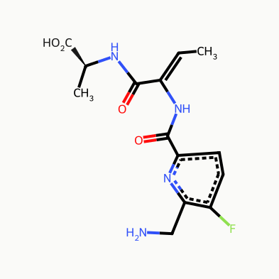 C/C=C(\NC(=O)c1ccc(F)c(CN)n1)C(=O)N[C@@H](C)C(=O)O